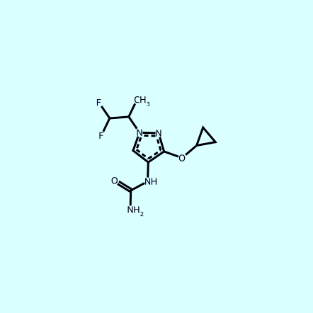 CC(C(F)F)n1cc(NC(N)=O)c(OC2CC2)n1